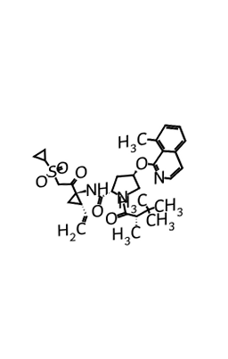 C=C[C@@H]1C[C@]1(NC(=O)[C@@H]1C[C@@H](Oc2nccc3cccc(C)c23)CN1C(=O)[C@@H](C)C(C)(C)C)C(=O)CS(=O)(=O)C1CC1